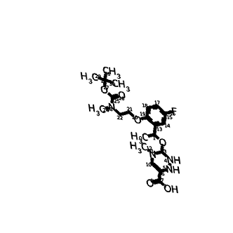 CC(OC1NNC(C(=O)O)=CN1C)c1cc(F)ccc1OCCN(C)C(=O)OC(C)(C)C